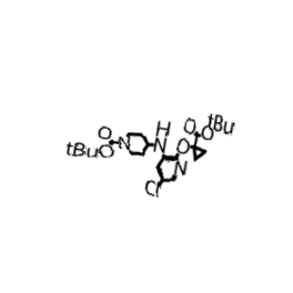 CC(C)(C)OC(=O)N1CCC(Nc2cc(Cl)cnc2OC2(C(=O)OC(C)(C)C)CC2)CC1